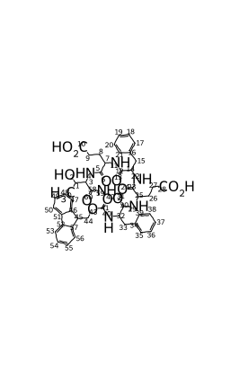 CC(O)C(NC(=O)C(CCC(=O)O)NC(=O)C(Cc1ccccc1)NC(=O)C(CCC(=O)O)NC(=O)C(Cc1ccccc1)NC(=O)OCC1c2ccccc2-c2ccccc21)C(N)=O